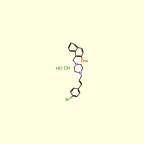 COc1ccc2ccccc2c1CN1CCN(C/C=C/c2ccc(Br)cc2)CC1.Cl.Cl